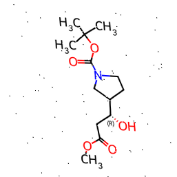 COC(=O)C[C@@H](O)C1CCN(C(=O)OC(C)(C)C)C1